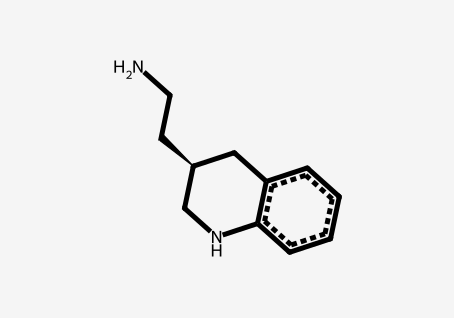 NCC[C@@H]1CNc2ccccc2C1